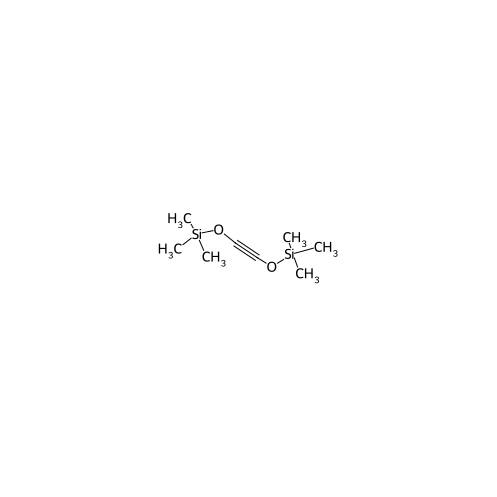 C[Si](C)(C)OC#CO[Si](C)(C)C